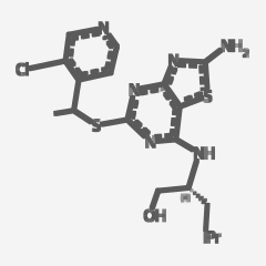 CC(C)C[C@H](CO)Nc1nc(SC(C)c2ccncc2Cl)nc2nc(N)sc12